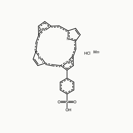 Cl.O=S(=O)(O)c1ccc(-c2cc3cc4nc(cc5ccc(cc6nc(cc2[nH]3)C=C6)[nH]5)C=C4)cc1.[Mn]